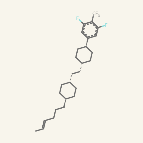 C/C=C/CCC[C@H]1CC[C@H](CC[C@H]2CC[C@H](c3cc(F)c(C(F)(F)F)c(F)c3)CC2)CC1